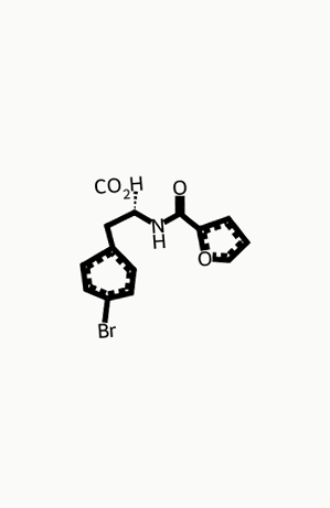 O=C(N[C@H](Cc1ccc(Br)cc1)C(=O)O)c1ccco1